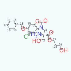 NC(CO)(Cn1c(=O)oc2cc(OCc3ccccc3)c(Cl)cc21)C(=O)OCCCO